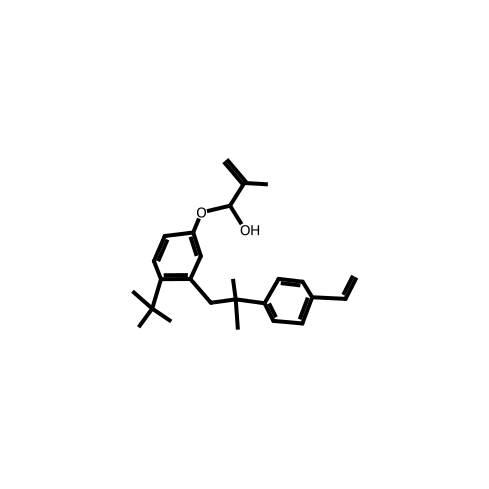 C=Cc1ccc(C(C)(C)Cc2cc(OC(O)C(=C)C)ccc2C(C)(C)C)cc1